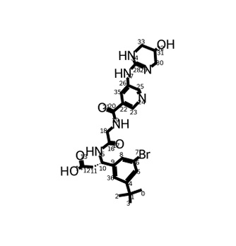 CC(C)(C)c1cc(Br)cc([C@H](CC(=O)O)NC(=O)CNC(=O)c2cncc(NC3=NCC(O)CN3)c2)c1